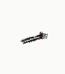 CCCCCCC=CCC=CCCCCCCCCC(=O)O.CCCCCCCCCCCCCCCCCCCCCC(=O)O